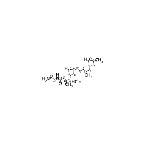 CC(C)CCCC(C)CCCC(C)CCCC(C)CC(=O)NCCN.Cl